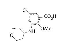 COc1c(NC2CCOCC2)cc(Cl)cc1C(=O)O